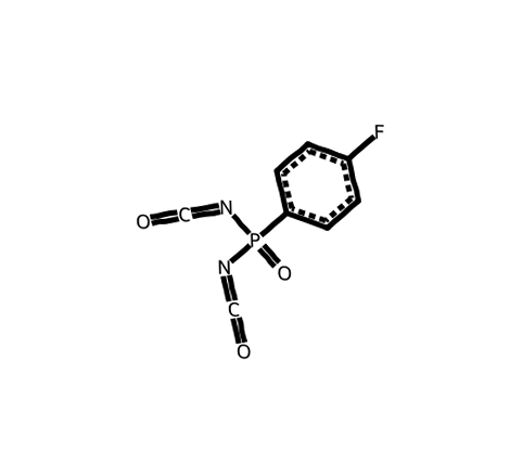 O=C=NP(=O)(N=C=O)c1ccc(F)cc1